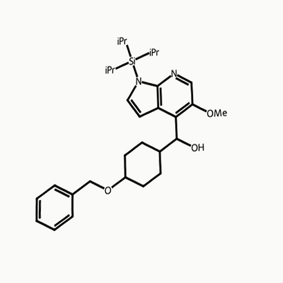 COc1cnc2c(ccn2[Si](C(C)C)(C(C)C)C(C)C)c1C(O)C1CCC(OCc2ccccc2)CC1